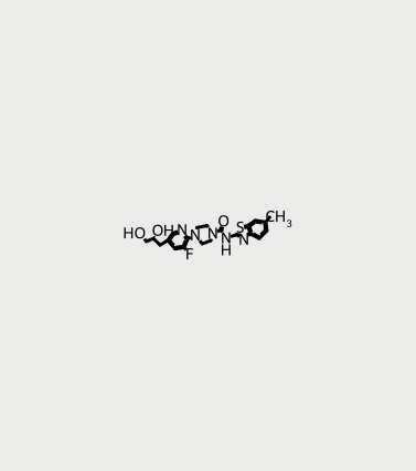 Cc1ccc2nc(NC(=O)N3CCN(c4ncc(C[C@@H](O)CO)cc4F)CC3)sc2c1